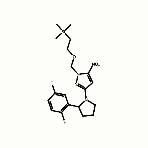 C[Si](C)(C)CCOCn1nc(N2CCCC2c2cc(F)ccc2F)cc1[N+](=O)[O-]